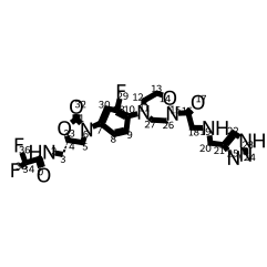 O=C(NC[C@H]1CN(c2ccc(N3CCON(C(=O)CNCc4c[nH]nn4)CC3)c(F)c2)C(=O)O1)C(F)F